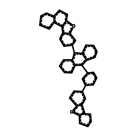 c1cc(-c2ccc3oc4ccccc4c3c2)cc(-c2c3ccccc3c(-c3ccc4c(c3)oc3ccc5ccccc5c34)c3ccccc23)c1